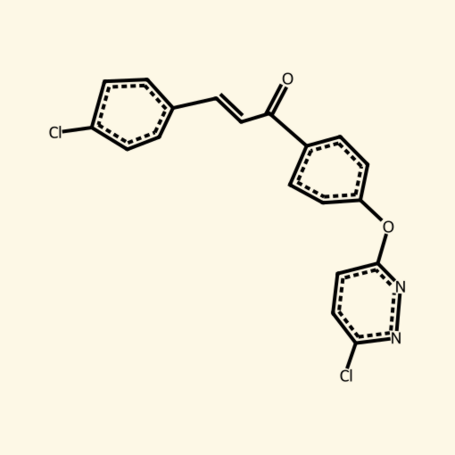 O=C(C=Cc1ccc(Cl)cc1)c1ccc(Oc2ccc(Cl)nn2)cc1